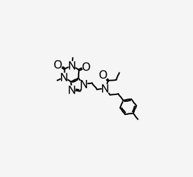 CCC(=O)N(CCc1ccc(C)cc1)CCn1cnc2c1c(=O)n(C)c(=O)n2C